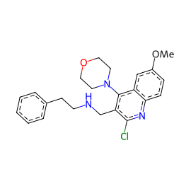 COc1ccc2nc(Cl)c(CNCCc3ccccc3)c(N3CCOCC3)c2c1